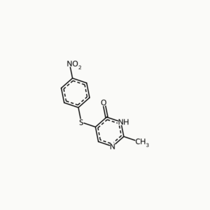 Cc1ncc(Sc2ccc([N+](=O)[O-])cc2)c(=O)[nH]1